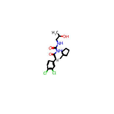 CC(O)CNC(=O)NC(=O)[C@H](CC1CCCC1)c1ccc(Cl)c(Cl)c1